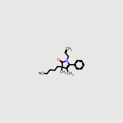 C=CCN1C(=O)C(C)(CCCCC#N)C(C)=C1c1ccccc1